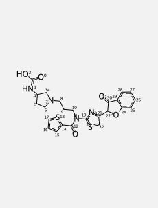 O=C(O)NC1CCN(CCCN(C(=O)c2cccs2)c2nc(C3Oc4ccccc4C3=O)cs2)C1